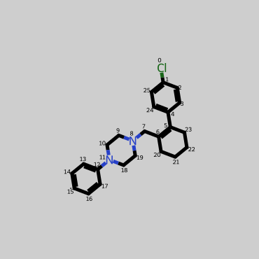 Clc1ccc(C2=C(CN3CCN(c4cc[c]cc4)CC3)CCCC2)cc1